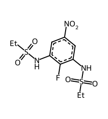 CCS(=O)(=O)Nc1cc([N+](=O)[O-])cc(NS(=O)(=O)CC)c1F